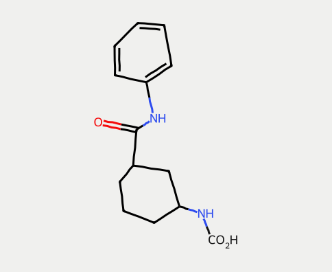 O=C(O)NC1CCCC(C(=O)Nc2ccccc2)C1